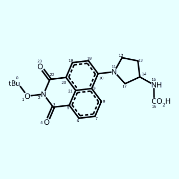 CC(C)(C)ON1C(=O)c2cccc3c(N4CCC(NC(=O)O)C4)ccc(c23)C1=O